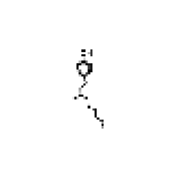 CCCCCCC(C)CCc1ccc(O)cc1